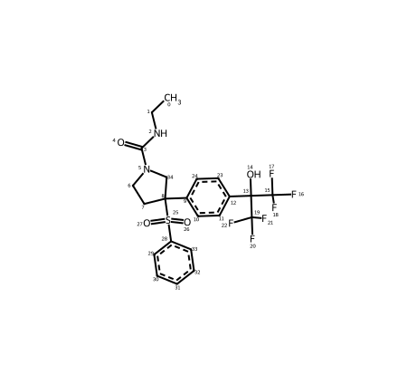 CCNC(=O)N1CCC(c2ccc(C(O)(C(F)(F)F)C(F)(F)F)cc2)(S(=O)(=O)c2ccccc2)C1